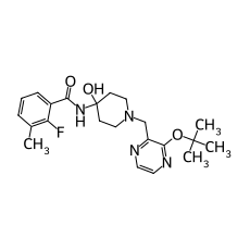 Cc1cccc(C(=O)NC2(O)CCN(Cc3nccnc3OC(C)(C)C)CC2)c1F